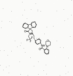 O=C(Nc1ccc(CCCCC2(C(=O)NCC(F)(F)F)c3ccccc3-c3ccccc32)cc1)c1ccccc1N1CCOCC1